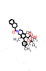 Cc1ccc(-c2c(C)c3c(c(C)c2[C@H](OC(C)(C)C)C(=O)O)CCN(C(=O)C2CCc4ccccc4C2)C3)cc1